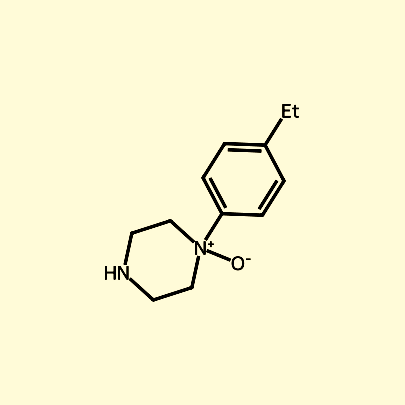 CCc1ccc([N+]2([O-])CCNCC2)cc1